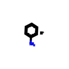 Nc1cc[c]cc1.[H+]